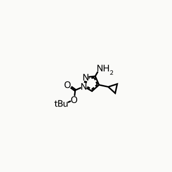 CC(C)(C)OC(=O)n1cc(C2CC2)c(N)n1